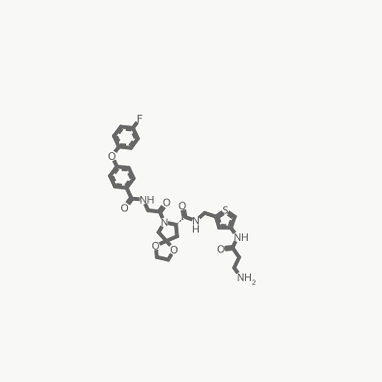 NCCC(=O)Nc1csc(CNC(=O)[C@@H]2CC3(CN2C(=O)CNC(=O)c2ccc(Oc4ccc(F)cc4)cc2)OCCO3)c1